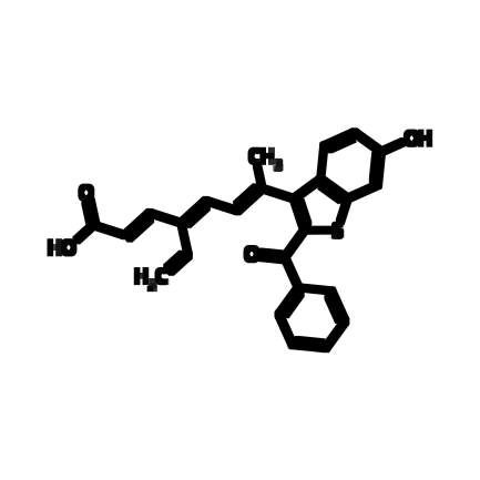 C=CC(/C=C/C(=O)O)=C\C=C(/C)c1c(C(=O)c2ccccc2)sc2cc(O)ccc12